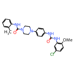 COc1ccc(Cl)cc1NC(=O)Nc1ccc(N2CCN(C(=O)Nc3ccccc3C)CC2)cc1